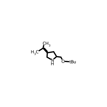 CC(C)=C1CNC(COC(C)(C)C)C1